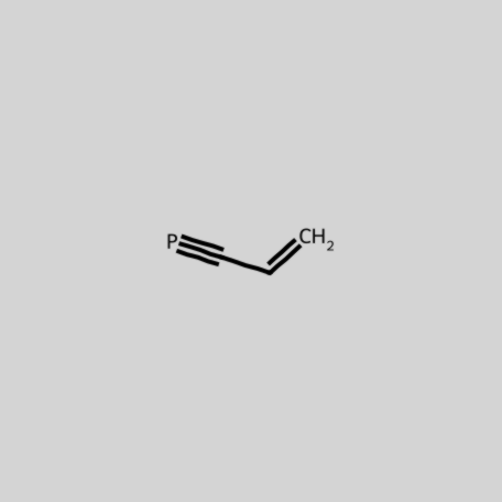 C=CC#P